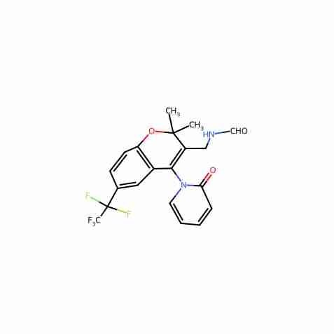 CC1(C)Oc2ccc(C(F)(F)C(F)(F)F)cc2C(n2ccccc2=O)=C1CNC=O